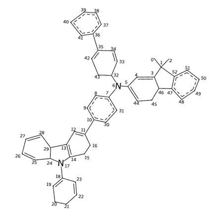 CC1(C)C2=CC(N(c3ccc(C4=CC5=C(CC4)N(C4=CCCC=C4)C4C=CC=CC54)cc3)C3C=CC(c4ccccc4)=CC3)=CCC2c2ccccc21